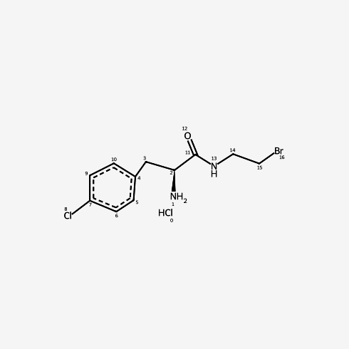 Cl.N[C@@H](Cc1ccc(Cl)cc1)C(=O)NCCBr